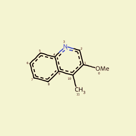 COc1cnc2ccccc2c1C